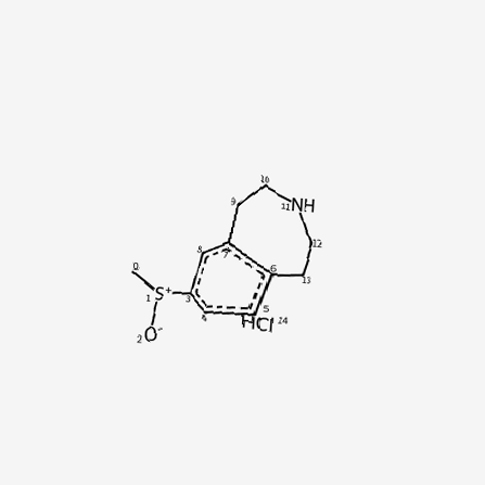 C[S+]([O-])c1ccc2c(c1)CCNCC2.Cl